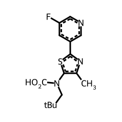 Cc1nc(-c2cncc(F)c2)sc1N(CC(C)(C)C)C(=O)O